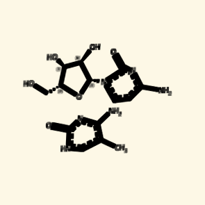 Cc1c[nH]c(=O)nc1N.Nc1ccn([C@@H]2O[C@H](CO)[C@@H](O)[C@H]2O)c(=O)n1